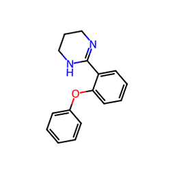 c1ccc(Oc2ccccc2C2=NCCCN2)cc1